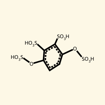 O=S(=O)(O)Oc1ccc(OS(=O)(=O)O)c(S(=O)(=O)O)c1S(=O)(=O)O